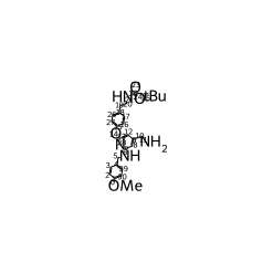 COc1ccc(CNc2cc(CN)cc(Oc3ccc(CCNC(=O)OC(C)(C)C)cc3)n2)cc1